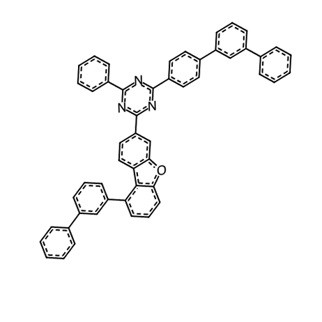 c1ccc(-c2cccc(-c3ccc(-c4nc(-c5ccccc5)nc(-c5ccc6c(c5)oc5cccc(-c7cccc(-c8ccccc8)c7)c56)n4)cc3)c2)cc1